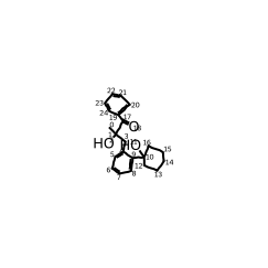 CC(O)(Cc1ccccc1C1(O)CCCCC1)C(=O)c1ccccc1